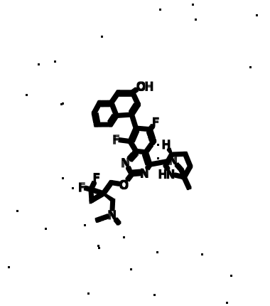 CN(C)C[C@@]1(COc2nc(N3CC4(C)CC[C@H]3CN4)c3cc(F)c(-c4cc(O)cc5ccccc45)c(F)c3n2)CC1(F)F